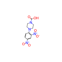 O=C(O)N1CCN(c2ccc([N+](=O)[O-])cc2[N+](=O)[O-])CC1